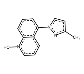 Cc1ccn(-c2cccc3c2ccc[n+]3O)n1